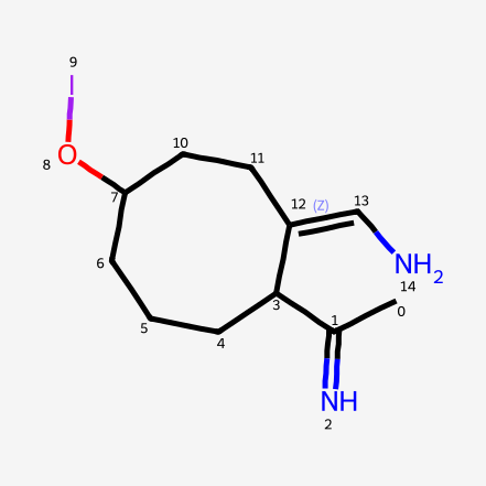 CC(=N)C1CCCC(OI)CC/C1=C/N